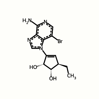 CC[C@@H]1C=C(n2cnc3c(N)ncc(Br)c32)[C@@H](O)[C@H]1O